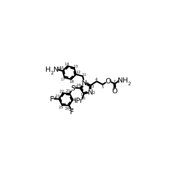 CC(C)c1nc(CCOC(N)=O)n(Cc2ccc(N)cc2)c1Sc1cc(F)cc(F)c1